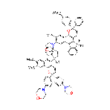 CCC1(CC)c2ccccc2-c2c1c1c(c3cc(SC)c(N4CCOCC4CCC4(CC)c5ccccc5-c5c4c4c(c6cc(SC)c(SC)cc56)OC(c5ccc(N6CCOCC6)cc5)(c5ccc(N6CCOCC6)cc5)C=C4)cc23)OC(c2ccccc2)(c2ccc(OC)cc2)C=C1